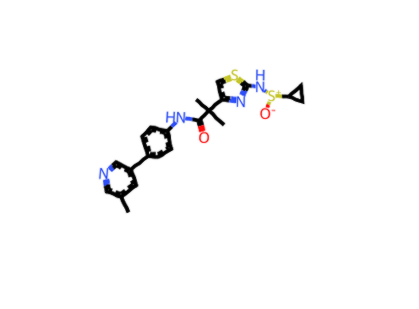 Cc1cncc(-c2ccc(NC(=O)C(C)(C)c3csc(N[S+]([O-])C4CC4)n3)cc2)c1